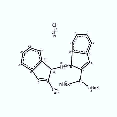 CCCCCCP(CCCCCC)C1=Cc2ccccc2[CH]1[Hf+2][CH]1C(C)=Cc2ccccc21.[Cl-].[Cl-]